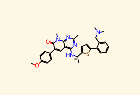 COc1ccc(-c2cc3c(N[C@H](C)c4ccc(-c5ccccc5CN(C)C)s4)nc(C)nc3n(C)c2=O)cc1